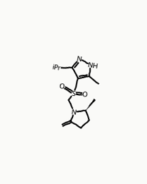 C=C1CC[C@H](C)N1CS(=O)(=O)c1c(C(C)C)n[nH]c1C